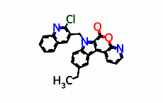 CCc1ccc2c(c1)c1c3cccnc3oc(=O)c1n2Cc1cc2ccccc2nc1Cl